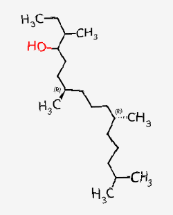 CCC(C)C(O)CC[C@H](C)CCC[C@H](C)CCCC(C)C